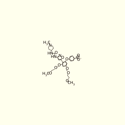 COCCOCOc1cc(OCOCCOC)c(-c2cc(NC(=O)NC3CCN(C)CC3)no2)c(Oc2ccc([N+](=O)[O-])cc2)c1